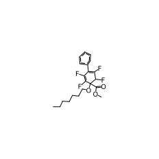 CCCCCCCOC1(C(=O)OC)C(F)=C(F)C(c2ccccc2)=C(F)C1F